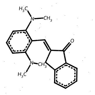 CN(C)c1cccc(N(C)C)c1C=C1Cc2ccccc2C1=O